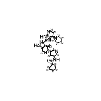 O=C(Nc1cncc(-c2ncc3[nH]nc(-c4nc5c(N6CCCCC6)ccnc5[nH]4)c3c2F)c1)c1ccccc1